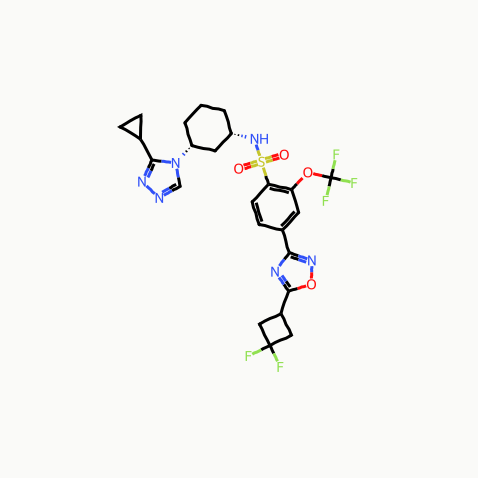 O=S(=O)(N[C@H]1CCC[C@@H](n2cnnc2C2CC2)C1)c1ccc(-c2noc(C3CC(F)(F)C3)n2)cc1OC(F)(F)F